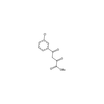 CC(C)COC(=O)C(=O)CC(=O)c1cccc(Cl)c1